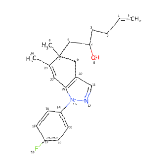 C=CCCC(O)CC1(C)Cc2cnn(-c3ccc(F)cc3)c2C=C1C